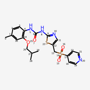 Cc1ccc(NC(=O)Nc2ncc(CS(=O)(=O)c3ccncc3)s2)c(OCC(C)C)c1